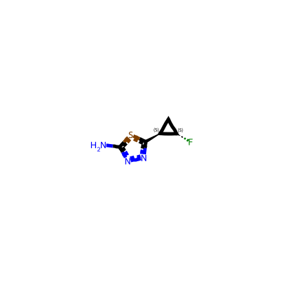 Nc1nnc([C@H]2C[C@@H]2F)s1